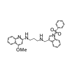 COc1cc(NCCCNCc2cn(S(=O)(=O)c3ccccc3)c3ccccc23)nc2ccccc12